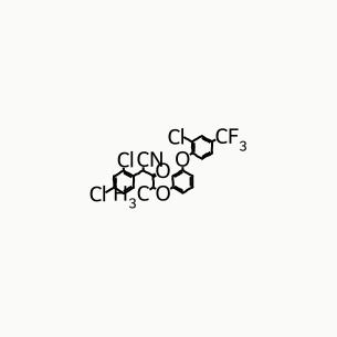 CC(Oc1cccc(Oc2ccc(C(F)(F)F)cc2Cl)c1)C(=O)C(C#N)c1ccc(Cl)cc1Cl